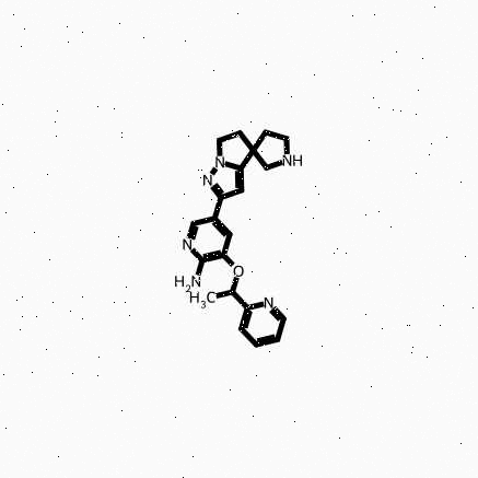 CC(Oc1cc(-c2cc3n(n2)CCC32CCNC2)cnc1N)c1ccccn1